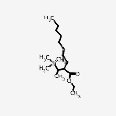 CCCCCCCCC(C(=O)OCC)C(C)[Si](C)(C)C